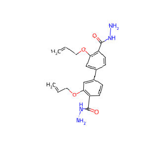 C=CCOc1cc(-c2ccc(C(=O)NN)c(OCC=C)c2)ccc1C(=O)NN